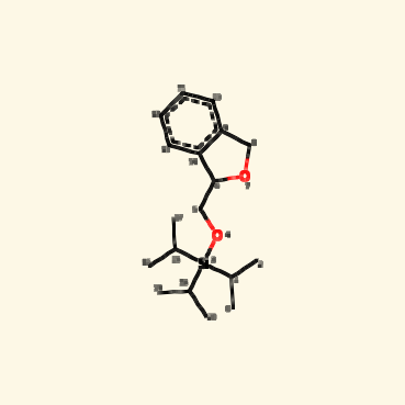 CC(C)[Si](OCC1OCc2ccccc21)(C(C)C)C(C)C